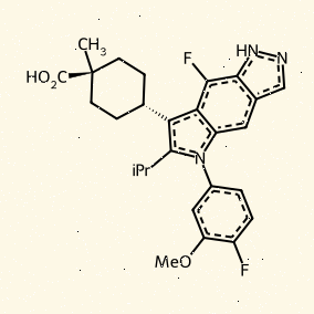 COc1cc(-n2c(C(C)C)c([C@H]3CC[C@](C)(C(=O)O)CC3)c3c(F)c4[nH]ncc4cc32)ccc1F